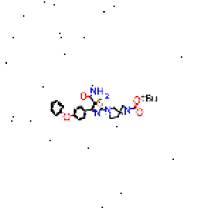 CC(C)(C)OC(=O)N1CC2(CCN(c3nc(-c4ccc(Oc5ccccc5)cc4)c(C(N)=O)s3)C2)C1